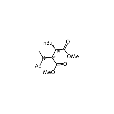 CCCC[C@@H](C(=O)OC)[C@@H](C(=O)OC)N(C)C(C)=O